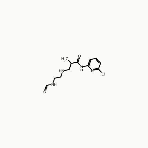 CC(CNCCNC=O)C(=O)Nc1cccc(Cl)n1